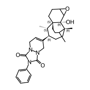 CC1CC[C@@]23CCC4OC4[C@@]2(O)[C@]1(C)CC[C@@H](C1=CCn2c(=O)n(-c4ccccc4)c(=O)n2C1)[C@@H]3C